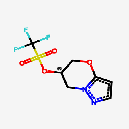 O=S(=O)(O[C@H]1COc2ccnn2C1)C(F)(F)F